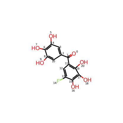 O=C(c1cc(O)c(O)c(O)c1)c1cc(F)c(O)c(O)c1O